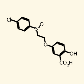 O=C(O)c1cc(OCC[S+]([O-])c2ccc(Cl)cc2)ccc1O